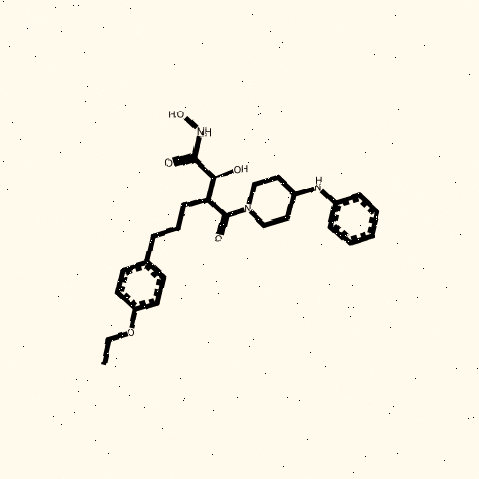 CCOc1ccc(CCCC(C(=O)N2CCC(Nc3ccccc3)CC2)[C@H](O)C(=O)NO)cc1